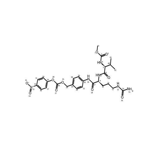 COC(=O)N[C@H](C(=O)N[C@@H](CCCNC(N)=O)C(=O)Nc1ccc(COC(=O)Oc2ccc([N+](=O)[O-])cc2)cc1)C(C)C